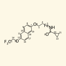 O=C([NH][Fe][CH2]COc1ccc2cc(OCC(F)(F)F)ccc2c1)C1CC1